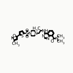 Cc1cc(-c2ccc(S(=O)(=O)N3CCN(C[C@H](C)Nc4ncnc5c(C(=O)N(C)C)cccc45)CC3)s2)on1